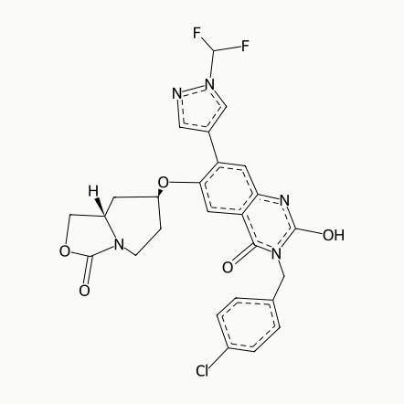 O=C1OC[C@@H]2C[C@@H](Oc3cc4c(=O)n(Cc5ccc(Cl)cc5)c(O)nc4cc3-c3cnn(C(F)F)c3)CCN12